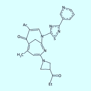 CCC(=O)C1CN(C2=CC(C)=C3CC(=N2)N(c2nc(-c4cccnc4)ns2)C=C(C(C)=O)C3=O)C1